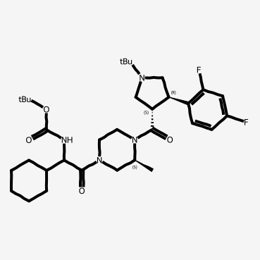 C[C@H]1CN(C(=O)C(NC(=O)OC(C)(C)C)C2CCCCC2)CCN1C(=O)[C@@H]1CN(C(C)(C)C)C[C@H]1c1ccc(F)cc1F